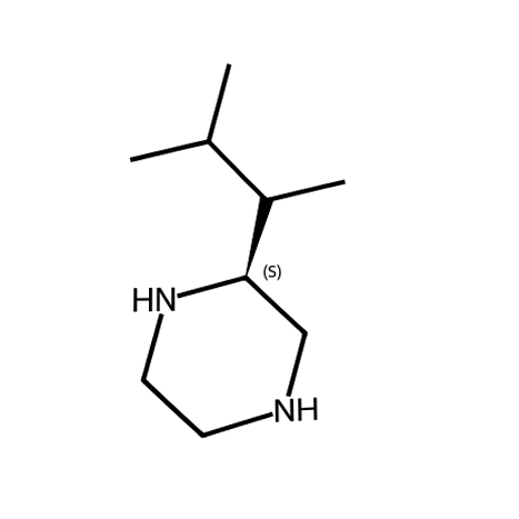 CC(C)C(C)[C@H]1CNCCN1